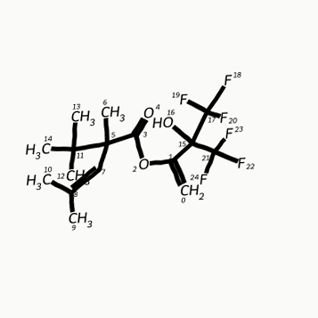 C=C(OC(=O)C(C)(C=C(C)C)C(C)(C)C)C(O)(C(F)(F)F)C(F)(F)F